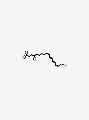 CC\C=C/C=C/C=C/C=C\CCCCC(=O)CCC(=O)O